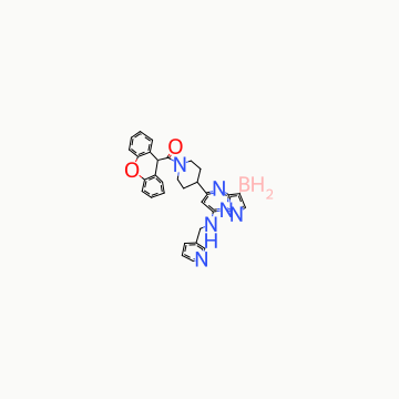 Bc1cnn2c(NCc3cccnc3)cc(C3CCN(C(=O)C4c5ccccc5Oc5ccccc54)CC3)nc12